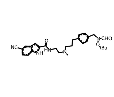 CN(CCCc1ccc(CN(C=O)OC(C)(C)C)cc1)CCNC(=O)c1cc2cc(C#N)ccc2[nH]1